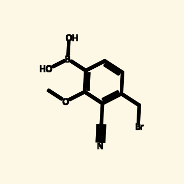 COc1c(B(O)O)ccc(CBr)c1C#N